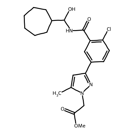 COC(=O)Cn1nc(-c2ccc(Cl)c(C(=O)NC(O)C3CCCCCC3)c2)cc1C